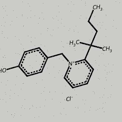 CCCC(C)(C)c1cccc[n+]1Cc1ccc(O)cc1.[Cl-]